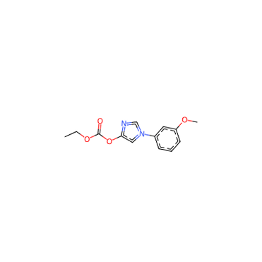 CCOC(=O)Oc1cn(-c2cccc(OC)c2)cn1